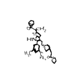 C=C(C(=O)N1C2CCC1CC2)c1cc2c(CCN3CCC(CC(=O)N4CCCC4)C3)c(-c3cc(C)cc(C)c3)[nH]c2s1